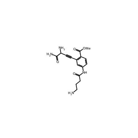 COC(=O)c1ccc(NC(=O)CCCN)cc1C#CC(N)C(N)=O